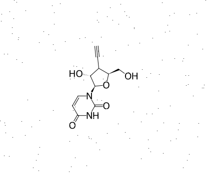 C#CC1[C@@H](O)[C@H](n2ccc(=O)[nH]c2=O)O[C@@H]1CO